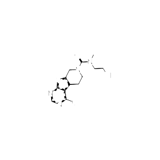 CN(CCCl)C(=O)N1CCc2c(sc3ncnc(Cl)c23)C1